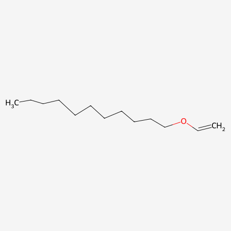 C=COCCCCCCCCCCC